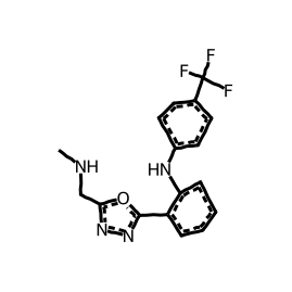 CNCc1nnc(-c2ccccc2Nc2ccc(C(F)(F)F)cc2)o1